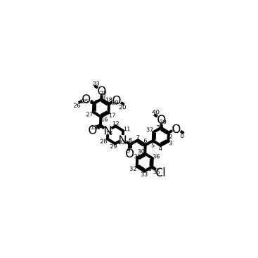 COc1ccc(C(=CC(=O)N2CCN(C(=O)c3cc(OC)c(OC)c(OC)c3)CC2)c2cccc(Cl)c2)cc1OC